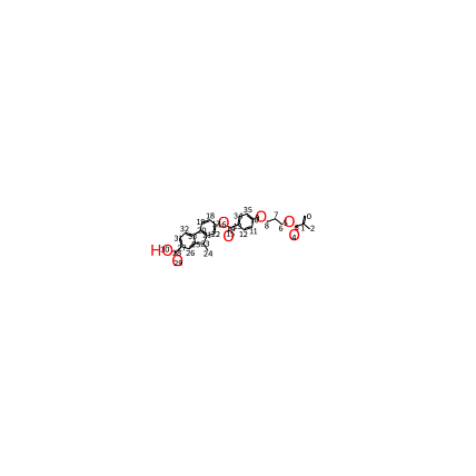 C=C(C)C(=O)OCCCOc1ccc(C(=O)Oc2ccc3c(c2)C(C)c2cc(C(=O)O)ccc2-3)cc1